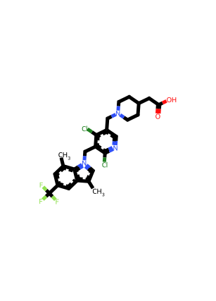 Cc1cn(Cc2c(Cl)ncc(CN3CCC(CC(=O)O)CC3)c2Cl)c2c(C)cc(C(F)(F)F)cc12